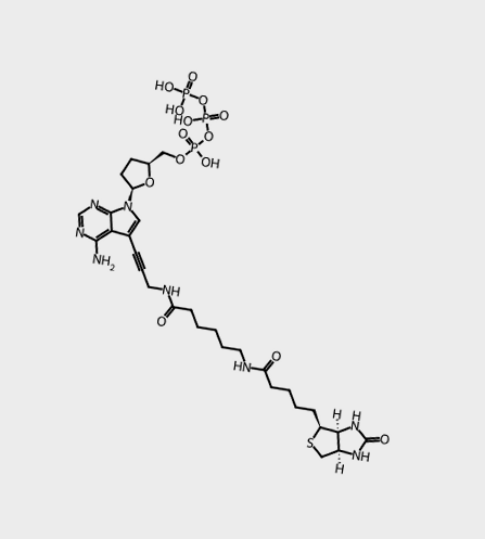 Nc1ncnc2c1c(C#CCNC(=O)CCCCCNC(=O)CCCC[C@@H]1SC[C@@H]3NC(=O)N[C@@H]31)cn2[C@H]1CC[C@@H](COP(=O)(O)OP(=O)(O)OP(=O)(O)O)O1